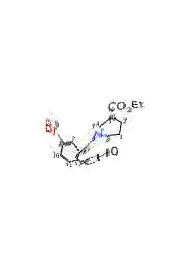 CCOC(=O)[C@@H]1CCCN(c2cc(Br)ccc2C=O)C1